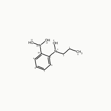 CCCN(O)c1ccccc1N(O)O